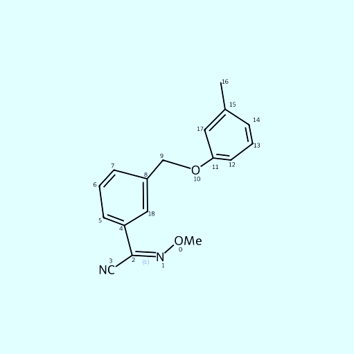 CO/N=C(/C#N)c1cccc(COc2cccc(C)c2)c1